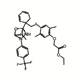 CCOC(=O)COc1cc(C)c(SCC2(C34NN(c5ccc(C(F)(F)F)cc5)C(O3)N4C)C=CC=CC2)cc1C